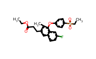 CCOC(=O)CCc1cc2ccc(F)cc2c(Oc2ccc(S(=O)(=O)CC)cc2)c1C